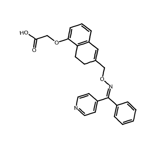 O=C(O)COc1cccc2c1CCC(CON=C(c1ccccc1)c1ccncc1)=C2